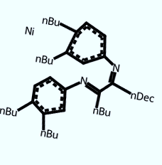 CCCCCCCCCCC(=Nc1ccc(CCCC)c(CCCC)c1)C(CCCC)=Nc1ccc(CCCC)c(CCCC)c1.[Ni]